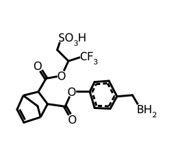 BCc1ccc(OC(=O)C2C3C=CC(C3)C2C(=O)OC(CS(=O)(=O)O)C(F)(F)F)cc1